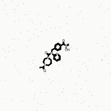 CC(=O)N1CCCN(C(=O)N(Cc2ccc(C(=O)N(C)O)cc2)c2ccccn2)CC1